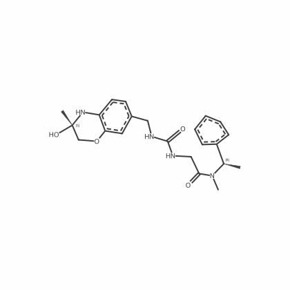 C[C@H](c1ccccc1)N(C)C(=O)CNC(=O)NCc1ccc2c(c1)OC[C@](C)(O)N2